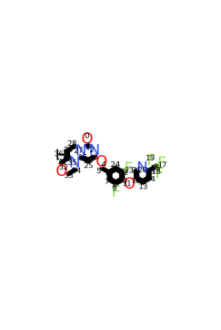 O=c1nc(OCc2cc(F)c(Oc3ccc(C(F)(F)F)nc3)c(F)c2)cc2n1CC[C@@H]1COCCN21